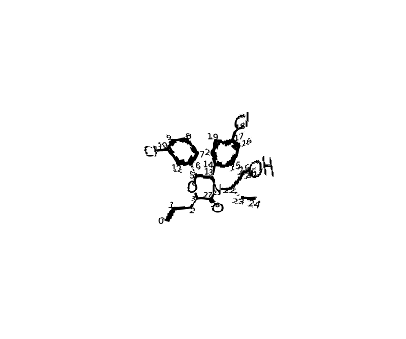 C=CC[C@H]1O[C@H](c2cccc(Cl)c2)[C@@H](c2ccc(Cl)cc2)N([C@@H](CC)CO)C1=O